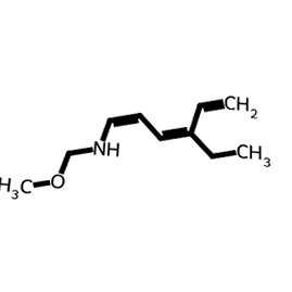 C=C/C(=C\C=C/NCOC)CC